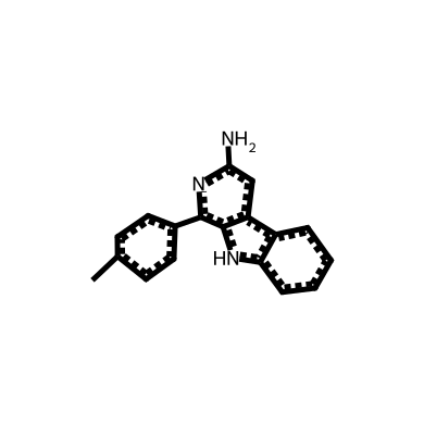 Cc1ccc(-c2nc(N)cc3c2[nH]c2ccccc23)cc1